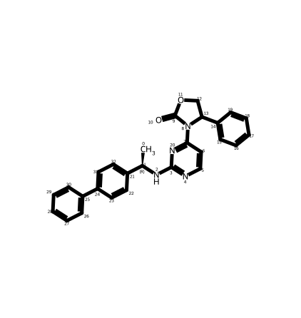 C[C@@H](Nc1nccc(N2C(=O)OCC2c2ccccc2)n1)c1ccc(-c2ccccc2)cc1